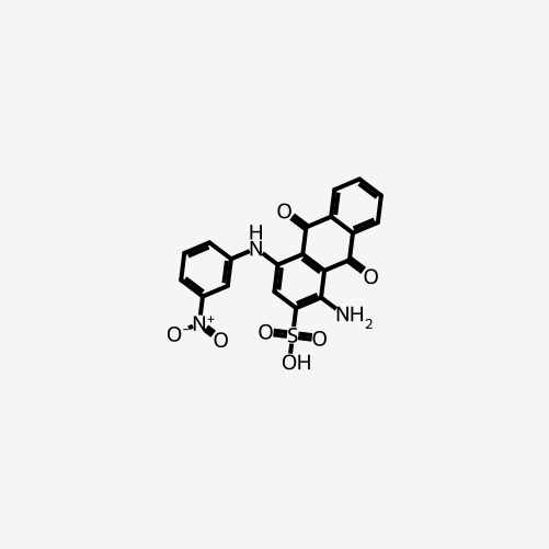 Nc1c(S(=O)(=O)O)cc(Nc2cccc([N+](=O)[O-])c2)c2c1C(=O)c1ccccc1C2=O